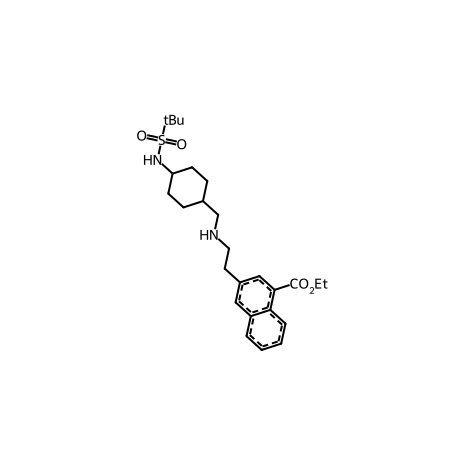 CCOC(=O)c1cc(CCNCC2CCC(NS(=O)(=O)C(C)(C)C)CC2)cc2ccccc12